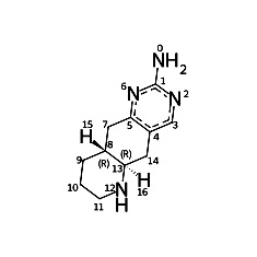 Nc1ncc2c(n1)C[C@H]1CCCN[C@@H]1C2